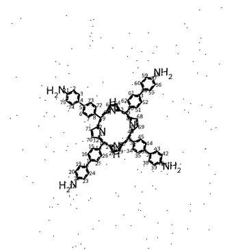 Nc1ccc(-c2ccc(-c3c4nc(c(-c5ccc(-c6ccc(N)cc6)cc5)c5ccc([nH]5)c(-c5ccc(-c6ccc(N)cc6)cc5)c5nc(c(-c6ccc(-c7ccc(N)cc7)cc6)c6ccc3[nH]6)C=C5)C=C4)cc2)cc1